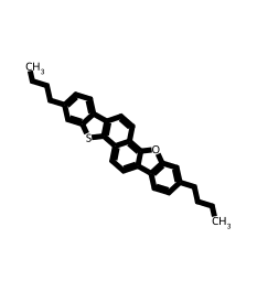 CCCCc1ccc2c(c1)oc1c2ccc2c1ccc1c3ccc(CCCC)cc3sc12